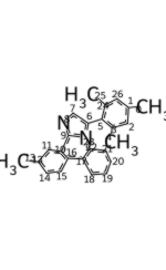 Cc1cc(C)c(-c2cnc3c4cc(C)ccc4c4ccccc4n23)c(C)c1